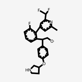 Cc1cc(-c2c(F)cccc2C(C[O])c2ccc(OC3CCNC3)cc2)cc(C(F)F)n1